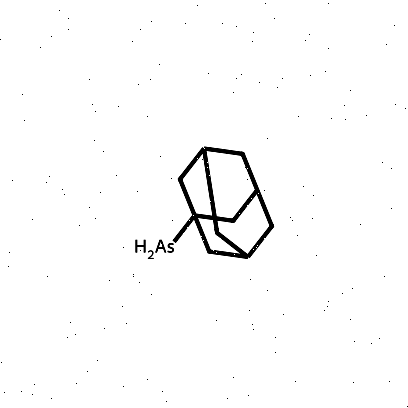 [AsH2]C12CC3CC(CC(C3)C1)C2